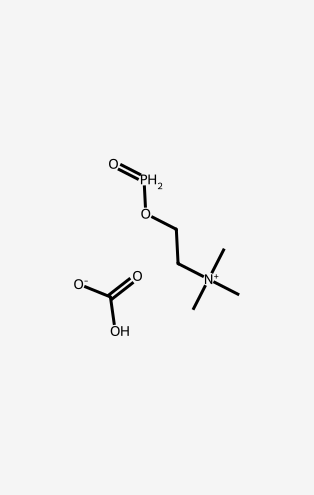 C[N+](C)(C)CCO[PH2]=O.O=C([O-])O